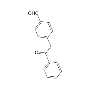 O=Cc1ccc(CC(=O)c2ccccc2)cc1